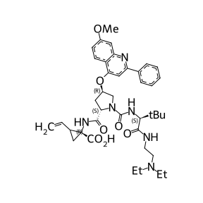 C=CC1C[C@]1(NC(=O)[C@@H]1C[C@@H](Oc2cc(-c3ccccc3)nc3cc(OC)ccc23)CN1C(=O)N[C@H](C(=O)NCCN(CC)CC)C(C)(C)C)C(=O)O